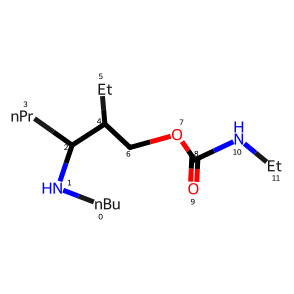 CCCCNC(CCC)C(CC)COC(=O)NCC